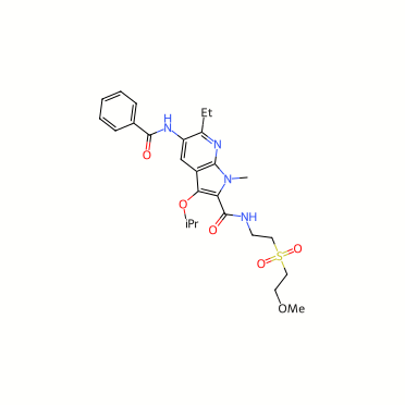 CCc1nc2c(cc1NC(=O)c1ccccc1)c(OC(C)C)c(C(=O)NCCS(=O)(=O)CCOC)n2C